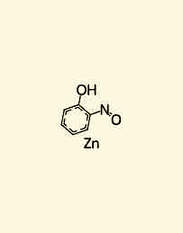 O=Nc1ccccc1O.[Zn]